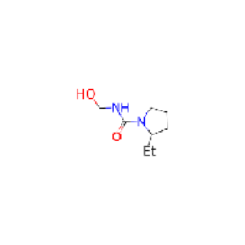 CCC1CCCN1C(=O)NCO